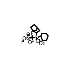 CS(C1CCCCC1=O)(C1CC2CCC1C2)C(F)(F)S(=O)(=O)OF